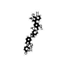 COc1cc(-c2cn(C)c(=O)c3c2CCCN3)cc(OC)c1CN1CCC2(CC1)CN(c1ccc3c(c1)C(=O)N(C1CCC(=O)NC1=O)C3)C2